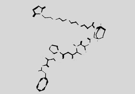 CCC(C)C(C(CC(=O)N1CCC[C@H]1C(OC)C(C)C(=O)NC(Cc1ccccc1)C(=O)O)OC)N(C)C(=O)C(NC(=O)[C@@H]1[C@H]2CC[C@H](C2)N1C(=O)CCOCCOCCOCCN1C(=O)C=CC1=O)C(C)C